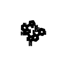 Cc1ccncc1-c1ccc2[nH]nc(-c3nc4c(-c5cccs5)nccc4[nH]3)c2c1F